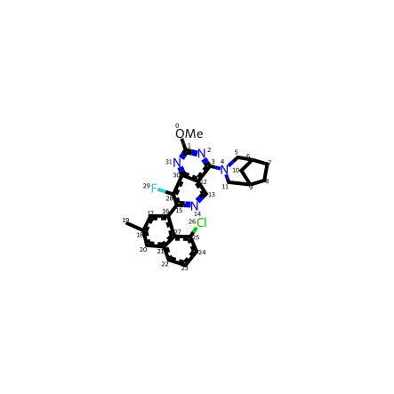 COc1nc(N2CC3CCC(C3)C2)c2cnc(-c3cc(C)cc4cccc(Cl)c34)c(F)c2n1